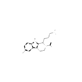 CC(=O)N1CCc2c(n(C)c3ccc(Cl)cc23)C1CCCN(C)C